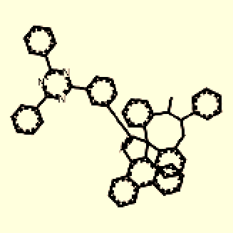 CC1c2ccccc2C2(c3ccccc3CC1c1ccccc1)c1cc(-c3cccc(-c4nc(-c5ccccc5)nc(-c5ccccc5)n4)c3)ccc1-c1c2c2ccccc2c2ccccc12